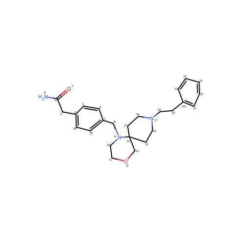 NC(=O)Cc1ccc(CN2CCOCC23CCN(CCc2ccccc2)CC3)cc1